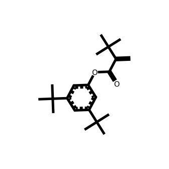 C=C(C(=O)Oc1cc(C(C)(C)C)cc(C(C)(C)C)c1)C(C)(C)C